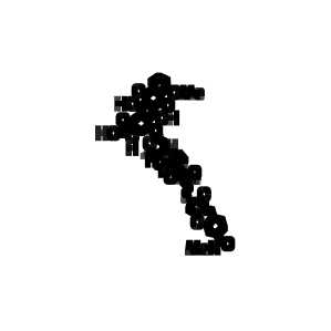 CNC(=O)C1CCC(CN2C(=O)CC(SCCC(=O)N3CCN4[C@H](O[C@@H]5[C@H](C)O[C@@H](O[C@H]6C[C@](O)(C(=O)CO)Cc7c(O)c8c(c(O)c76)C(=O)c6c(OC)cccc6C8=O)C[C@@H]54)[C@H]3OC)C2=O)CC1